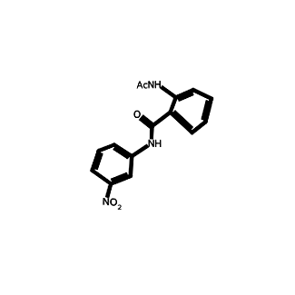 CC(=O)Nc1ccccc1C(=O)Nc1cccc([N+](=O)[O-])c1